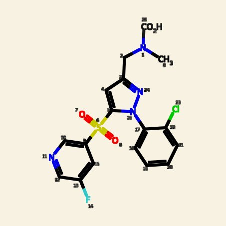 CN(Cc1cc(S(=O)(=O)c2cncc(F)c2)n(-c2ccccc2Cl)n1)C(=O)O